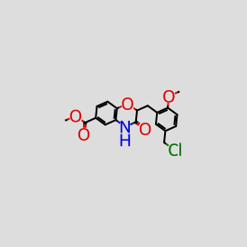 COC(=O)c1ccc2c(c1)NC(=O)C(Cc1cc(CCl)ccc1OC)O2